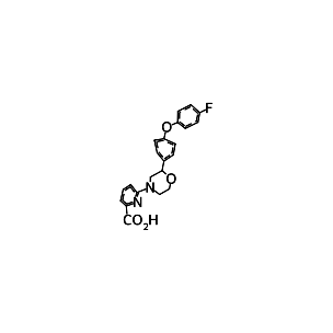 O=C(O)c1cccc(N2CCOC(c3ccc(Oc4ccc(F)cc4)cc3)C2)n1